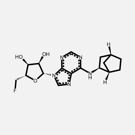 O[C@@H]1[C@H](O)[C@@H](CF)O[C@H]1n1cnc2c(N[C@H]3C[C@@H]4CC[C@H]3C4)ncnc21